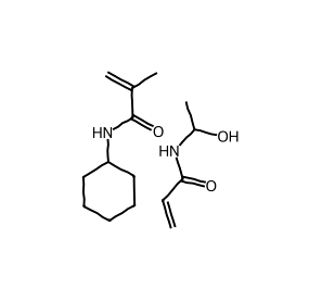 C=C(C)C(=O)NC1CCCCC1.C=CC(=O)NC(C)O